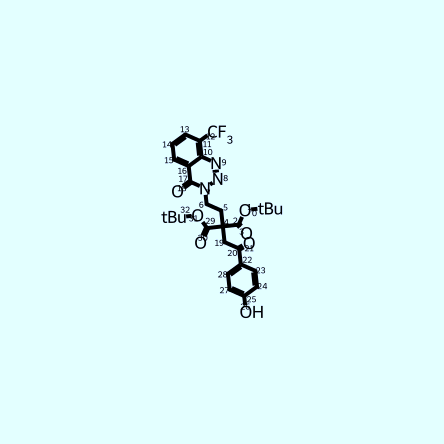 CC(C)(C)OC(=O)C(CCn1nnc2c(C(F)(F)F)cccc2c1=O)(CC(=O)c1ccc(O)cc1)C(=O)OC(C)(C)C